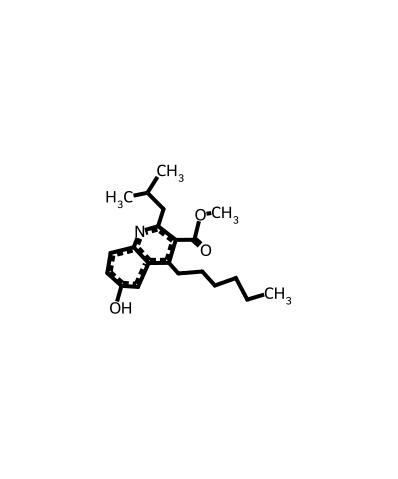 CCCCCCc1c(C(=O)OC)c(CC(C)C)nc2ccc(O)cc12